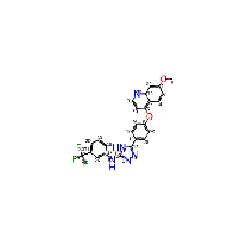 COc1ccc2c(Oc3ccc(-c4nnc(Nc5cccc(C(F)(F)F)c5)[nH]4)cc3)ccnc2c1